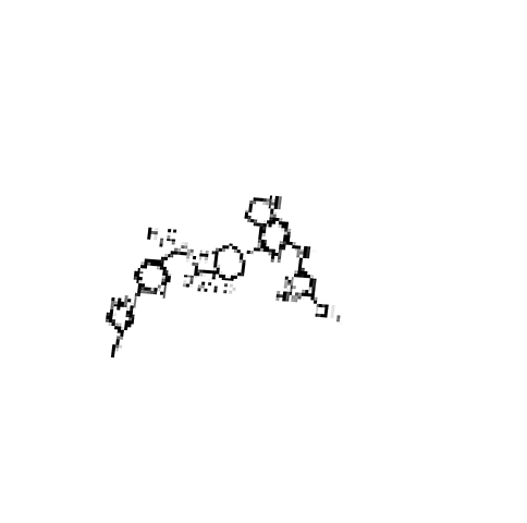 CO[C@]1(C(=O)N[C@@H](C)c2ccc(-n3cc(F)cn3)nc2)CC[C@H](c2nc(Nc3cc(C)[nH]n3)cc3c2CCN3)CC1